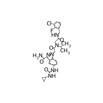 CC(C)N(CC(=O)NCc1cccc(Cl)c1F)C(=O)Cn1nc(C(N)=O)c2cc(NC(=O)NC3CC3)ccc21